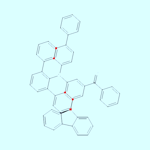 O=C(c1ccccc1)c1cc(N(c2ccc(-c3ccccc3)cc2)c2c(-c3ccccc3)cccc2-c2ccccc2)cc(-n2c3ccccc3c3ccccc32)c1